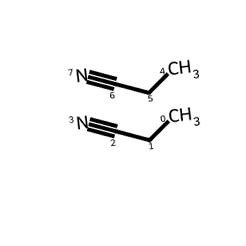 CCC#N.CCC#N